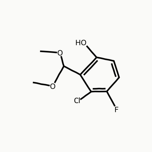 COC(OC)c1c(O)ccc(F)c1Cl